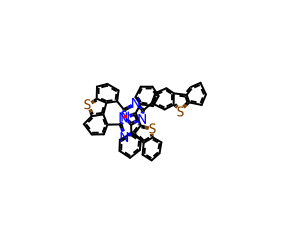 c1ccc(-c2nc(-c3ccc4c(c3)sc3ccccc34)nc(-c3cccc4sc5cccc(-c6nc(-c7ccccc7)c7sc8ccccc8c7n6)c5c34)n2)cc1